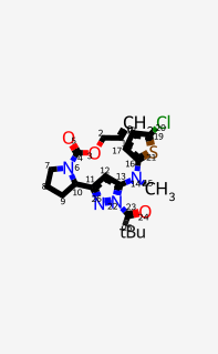 C=CCOC(=O)N1CCCC1c1cc(N(C)c2ccc(Cl)s2)n(C(=O)C(C)(C)C)n1